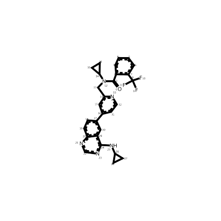 O=C(c1ccccc1C(F)(F)F)N(Cc1cc(-c2ccc3ncnc(NC4CC4)c3c2)ccn1)C1CC1